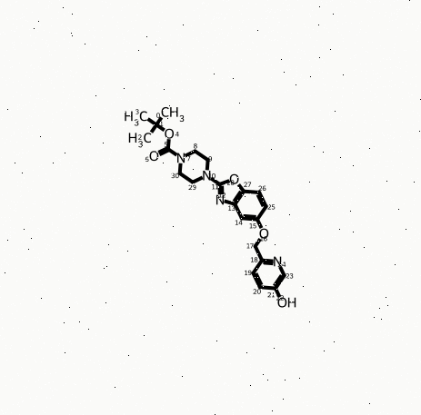 CC(C)(C)OC(=O)N1CCN(c2nc3cc(OCc4ccc(O)cn4)ccc3o2)CC1